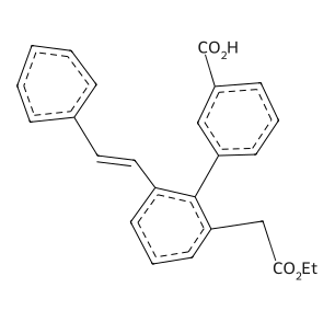 CCOC(=O)Cc1cccc(/C=C/c2ccccc2)c1-c1cccc(C(=O)O)c1